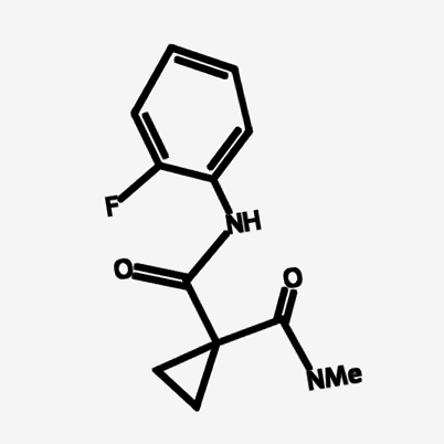 CNC(=O)C1(C(=O)Nc2ccccc2F)CC1